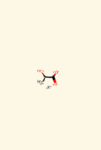 C[C@@H](O)C(=O)[O-].[K+]